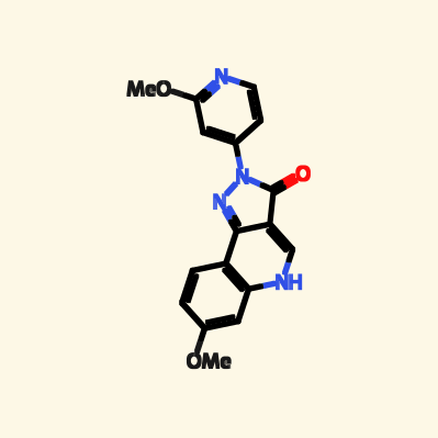 COc1ccc2c3nn(-c4ccnc(OC)c4)c(=O)c-3c[nH]c2c1